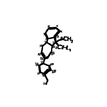 CC1(C)c2ccccc2C2CC=C([C@@H]3C=CC(I)=CC3)CC21